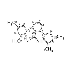 Cc1cc(C)cc(-c2cccc(-c3cc(C)cc(C)c3)c2C(=N)N)c1